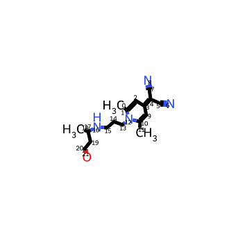 CC1=CC(=C(C#N)C#N)C=C(C)N1CCCNC(C)CC=O